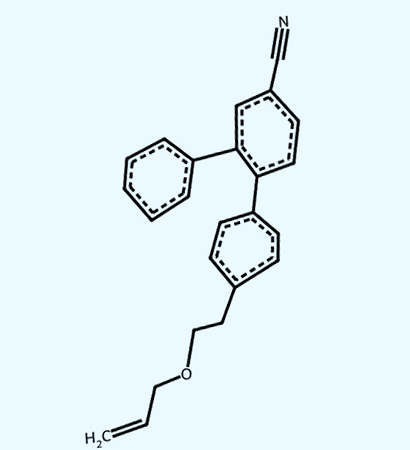 C=CCOCCc1ccc(-c2ccc(C#N)cc2-c2ccccc2)cc1